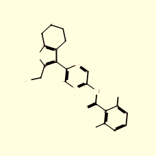 O=C(Nc1cnc(-c2c(CF)oc3c2CCCC3)cn1)c1c(F)cccc1F